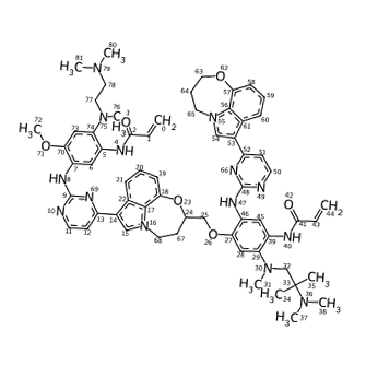 C=CC(=O)Nc1cc(Nc2nccc(-c3cn4c5c(cccc35)OC(COc3cc(N(C)CC(C)(C)N(C)C)c(NC(=O)C=C)cc3Nc3nccc(-c5cn6c7c(cccc57)OCCC6)n3)CC4)n2)c(OC)cc1N(C)CCN(C)C